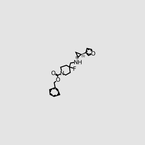 O=C(OCc1ccccc1)N1CCC(F)(CN[C@@H]2C[C@H]2c2ccoc2)CC1